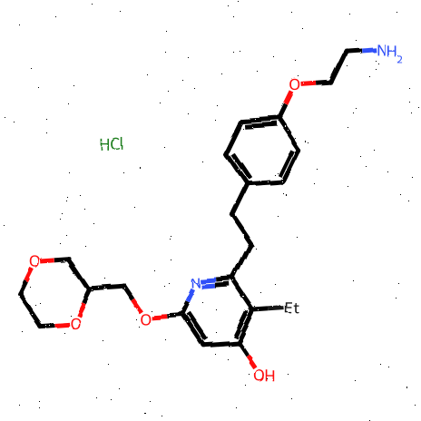 CCc1c(O)cc(OCC2COCCO2)nc1CCc1ccc(OCCN)cc1.Cl